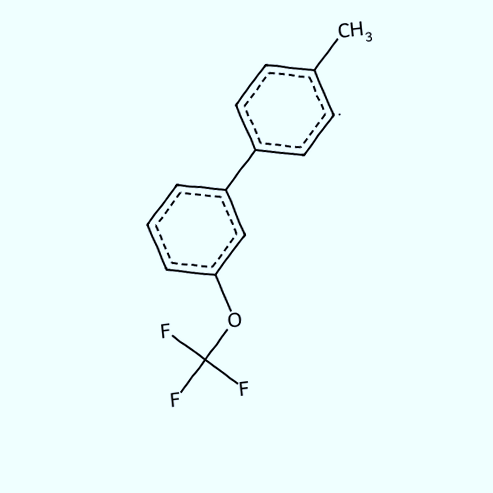 Cc1[c]cc(-c2cccc(OC(F)(F)F)c2)cc1